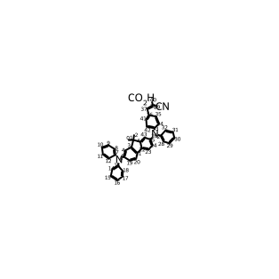 CC1(C)c2cc(N(c3ccccc3)c3ccccc3)ccc2-c2ccc(N(c3ccccc3)c3ccc(/C=C(\C#N)C(=O)O)cc3)cc21